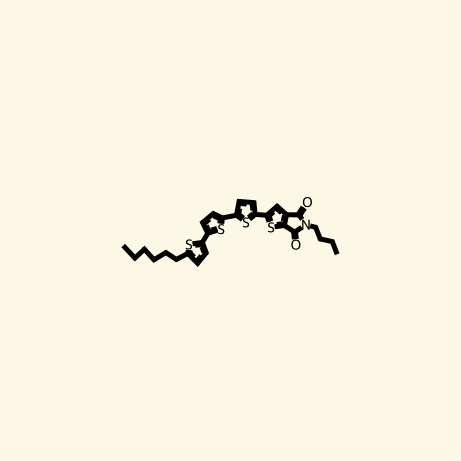 CCCCCCc1ccc(-c2ccc(-c3ccc(-c4cc5c(s4)C(=O)N(CCCC)C5=O)s3)s2)s1